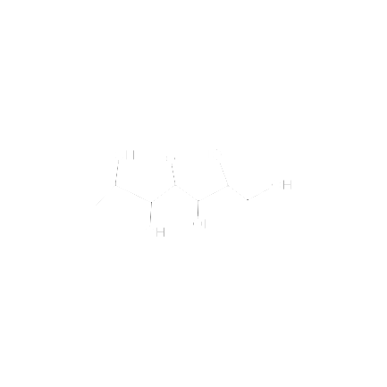 CC(O)C(O)C(O)C(O)C(O)CO